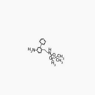 CC(C)(C)OC(=O)NCCc1ccc(N)cc1-c1ccccc1